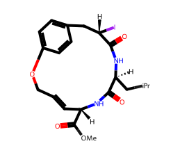 COC(=O)[C@@H]1/C=C/COc2ccc(cc2)C[C@H](I)C(=O)N[C@@H](CC(C)C)C(=O)N1